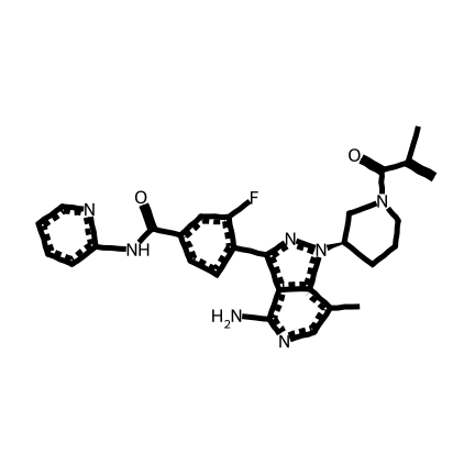 C=C(C)C(=O)N1CCC[C@@H](n2nc(-c3ccc(C(=O)Nc4ccccn4)cc3F)c3c(N)ncc(C)c32)C1